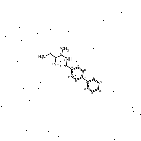 CCC(N)C(C)NCc1ccc(-c2ccccc2)cc1